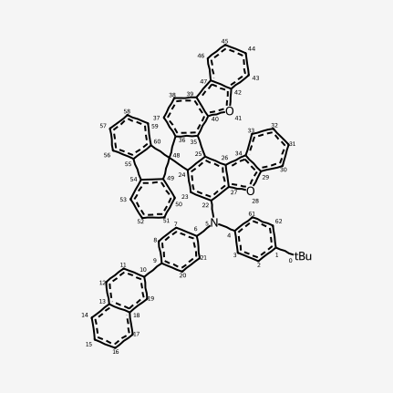 CC(C)(C)c1ccc(N(c2ccc(-c3ccc4ccccc4c3)cc2)c2cc3c(c4c2oc2ccccc24)-c2c(ccc4c2oc2ccccc24)C32c3ccccc3-c3ccccc32)cc1